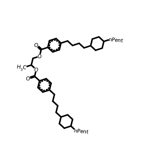 CCCCCC1CCC(CCCCc2ccc(C(=O)OCC(C)OC(=O)c3ccc(CCCCC4CCC(CCCCC)CC4)cc3)cc2)CC1